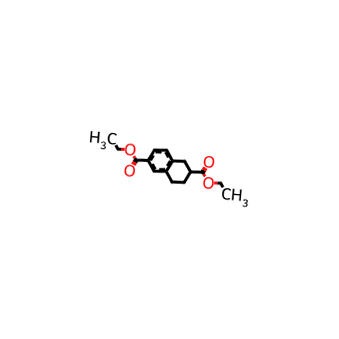 CCOC(=O)c1ccc2c(c1)CCC(C(=O)OCC)C2